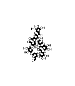 OC1=CCOC(OC2C(CCl)OC(OC3C(CCl)OC(OC4C(O)CC(OC5COC(OC6C(O)CC(OC7C(O)CC(OC8C(CCl)OC(O)C(O)C8O)OC7CCl)OC6Cl)C(O)C5O)OC4CCl)C(O)C3O)C(O)C2O)C1